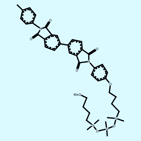 COCCCC[Si](C)(C)O[Si](C)(C)O[Si](C)(C)CCCCOc1ccc(N2C(=O)c3ccc(-c4ccc5c(c4)C(=O)N(c4ccc(C)cc4)C5=O)cc3C2=O)cc1